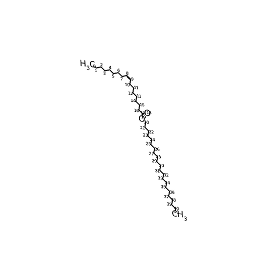 CCCCCCCC/C=C\CCCCCCCC(=O)OCCCCCCCCCCCCCCCCCCCCCC